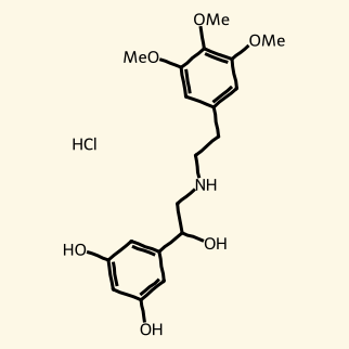 COc1cc(CCNCC(O)c2cc(O)cc(O)c2)cc(OC)c1OC.Cl